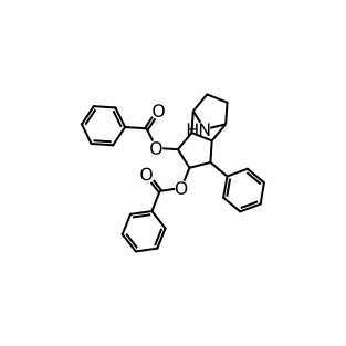 O=C(OC1C(OC(=O)c2ccccc2)C2C3CCC(N3)C2C1c1ccccc1)c1ccccc1